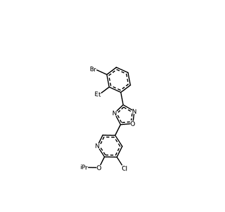 CCc1c(Br)cccc1-c1noc(-c2cnc(OC(C)C)c(Cl)c2)n1